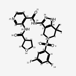 CC1(C)CN(S(=O)(=O)c2cc(F)cc(F)c2)Cc2c(NC(=O)c3ccncc3NC(=O)C3CCOC3)n[nH]c21